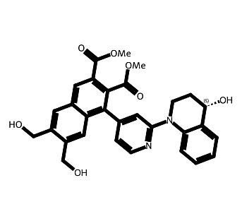 COC(=O)c1cc2cc(CO)c(CO)cc2c(-c2ccnc(N3CC[C@H](O)c4ccccc43)c2)c1C(=O)OC